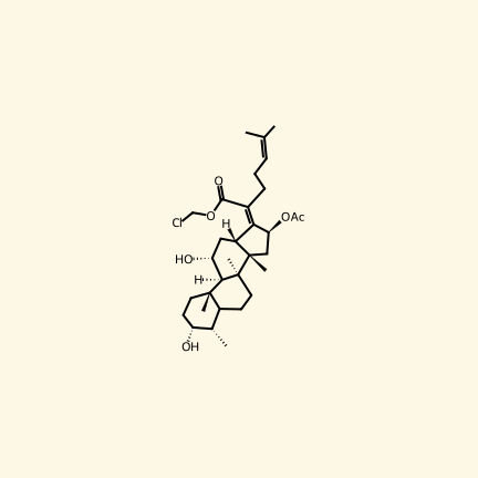 CC(=O)O[C@H]1C[C@@]2(C)[C@H](C[C@@H](O)[C@@H]3[C@@]4(C)CC[C@@H](O)[C@@H](C)C4CC[C@@]32C)C1=C(CCC=C(C)C)C(=O)OCCl